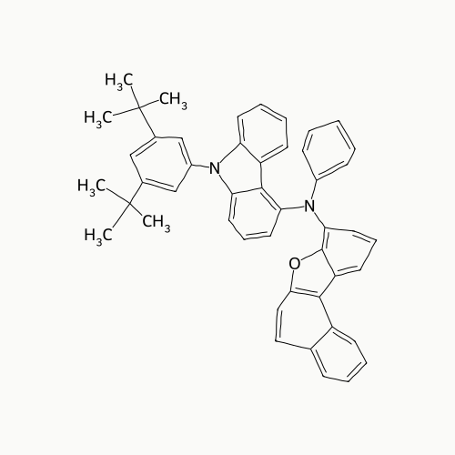 CC(C)(C)c1cc(-n2c3ccccc3c3c(N(c4ccccc4)c4cccc5c4oc4ccc6ccccc6c45)cccc32)cc(C(C)(C)C)c1